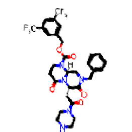 O=C(C[C@H]1C(=O)N(Cc2ccccc2)C[C@@H]2N(C(=O)OCc3cc(C(F)(F)F)cc(C(F)(F)F)c3)CCC(=O)N21)N1CCNCC1